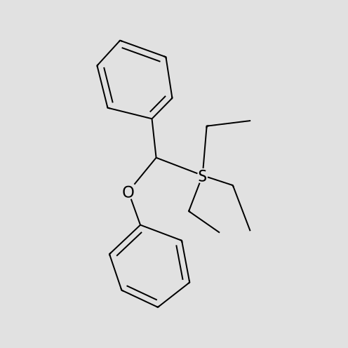 CCS(CC)(CC)C(Oc1ccccc1)c1ccccc1